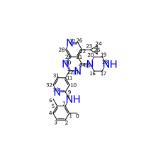 Cc1cccc(C)c1Nc1cc(-c2nc(N3CCNCC3)c3c(C4CC4)cncc3n2)ccn1